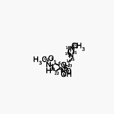 CC(=O)Nc1ccc(N(O)S(=O)(=O)CCCn2cc[n+](C)c2)cc1